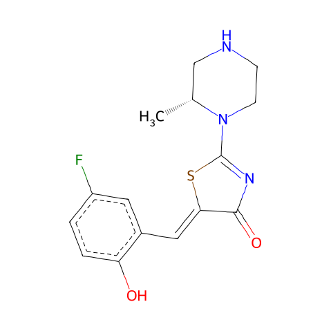 C[C@@H]1CNCCN1C1=NC(=O)C(=Cc2cc(F)ccc2O)S1